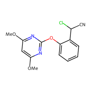 COc1cc(OC)nc(Oc2ccccc2C(Cl)C#N)n1